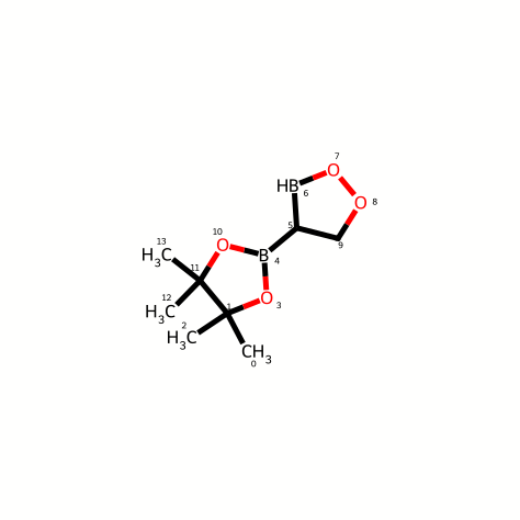 CC1(C)OB(C2BOOC2)OC1(C)C